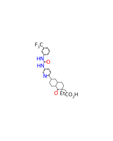 CCC1(CC(=O)O)CCC2CC(c3ccc(NC(=O)Nc4cccc(C(F)(F)F)c4)cn3)CCC2C1=O